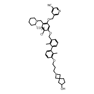 Cc1c(COc2cc(OCc3cncc(C#N)c3)c(CN3CCCC[C@H]3C(=O)O)cc2Cl)cccc1-c1cccc(OCCCN2CC3(CCC(O)C3)C2)c1C